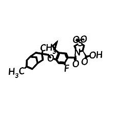 CC1CC2CC(C1)CC(C)(COc1cc(F)c(C(=O)N3CS(=O)(=O)C[C@H]3C(=O)O)cc1C1CC1)C2